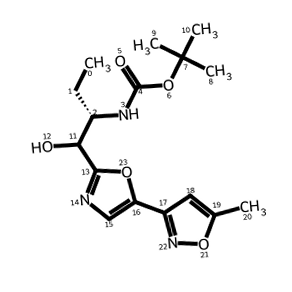 CC[C@H](NC(=O)OC(C)(C)C)C(O)c1ncc(-c2cc(C)on2)o1